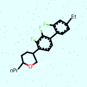 CCCC1CCC(c2ccc(-c3ccc(CC)cc3F)c(F)c2F)CO1